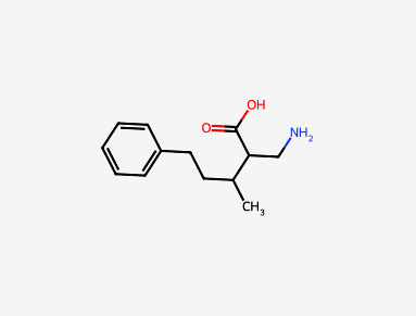 CC(CCc1ccccc1)C(CN)C(=O)O